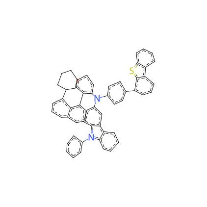 c1ccc(-n2c3ccccc3c3cc(N(c4ccc(-c5cccc6c5sc5ccccc56)cc4)c4ccccc4-c4cccc5cccc(C6CCCCC6)c45)ccc32)cc1